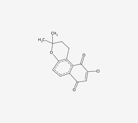 CC1(C)CCc2c(ccc3c2C(=O)C(Cl)=CC3=O)O1